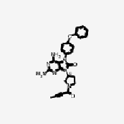 CC#CC(=O)N1CC[C@H](n2c(=O)n(-c3ccc(Oc4ccccc4)cc3)c3c(N)nc(N)nc32)C1